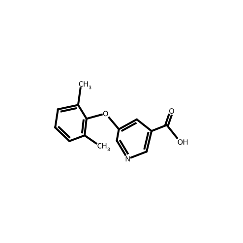 Cc1cccc(C)c1Oc1cncc(C(=O)O)c1